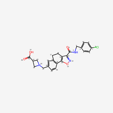 O=C(NCc1ccc(Cl)cc1)c1noc2c1CCc1cc(CN3CC(C(=O)O)C3)ccc1-2